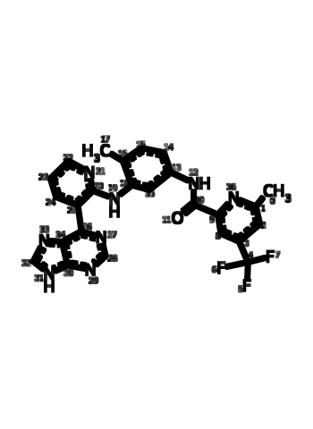 Cc1cc(C(F)(F)F)cc(C(=O)Nc2ccc(C)c(Nc3ncccc3-c3ncnc4[nH]cnc34)c2)n1